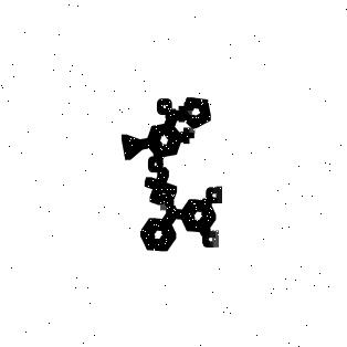 CC1(COc2cc(F)c(C(=O)N3CCCC3)cc2C2CC2)CN(C(c2ccccc2)c2cc(Cl)cc(Cl)c2)C1